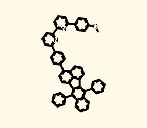 COc1ccc(-c2cccc(-c3cccc(-c4ccc(-c5ccc6c7c(cccc57)-c5c-6c(-c6ccccc6)c6ccccc6c5-c5ccccc5)cc4)n3)n2)cc1